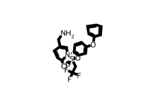 NCC1=C[N+](c2ccc(Oc3ccccc3)cc2)(S(=O)(=O)CC(F)(F)F)C(Cl)C=C1